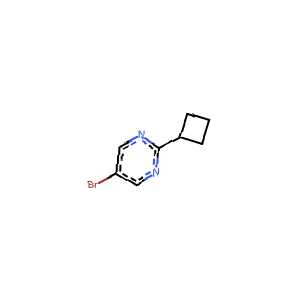 Brc1cnc(C2CCC2)nc1